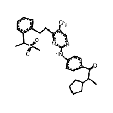 CC(C(=O)c1ccc(Nc2ncc(C(F)(F)F)c(CCc3ccccc3C(C)S(C)(=O)=O)n2)cc1)C1CCCC1